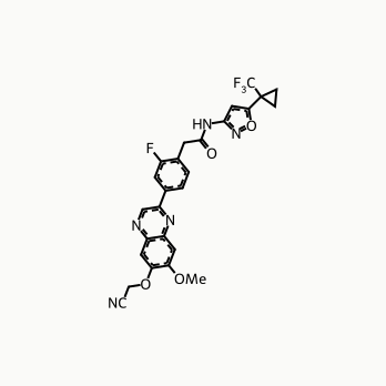 COc1cc2nc(-c3ccc(CC(=O)Nc4cc(C5(C(F)(F)F)CC5)on4)c(F)c3)cnc2cc1OCC#N